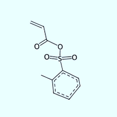 C=CC(=O)OS(=O)(=O)c1ccccc1C